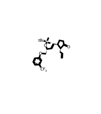 C=CC[C@H]1C(=O)CC[C@@H]1/C=C/[C@H](COc1cccc(C(F)(F)F)c1)O[Si](C)(C)C(C)(C)C